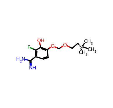 C[Si](C)(C)CCOCOc1ccc(C(=N)N)c(F)c1O